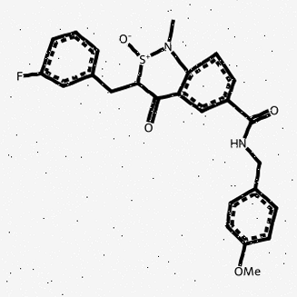 COc1ccc(CNC(=O)c2ccc3c(c2)C(=O)C(Cc2cccc(F)c2)[S+]([O-])N3C)cc1